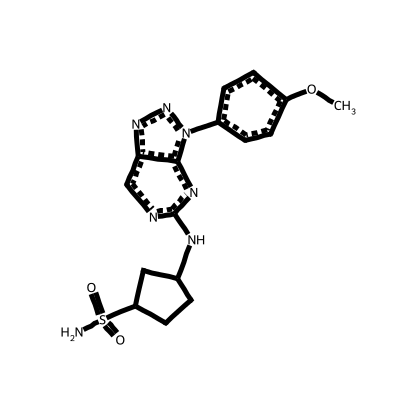 COc1ccc(-n2nnc3cnc(NC4CCC(S(N)(=O)=O)C4)nc32)cc1